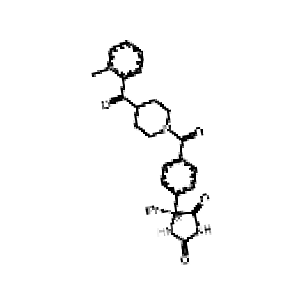 Cc1ccccc1C(=O)C1CCN(C(=O)c2ccc([C@@]3(C(C)C)NC(=O)NC3=O)cc2)CC1